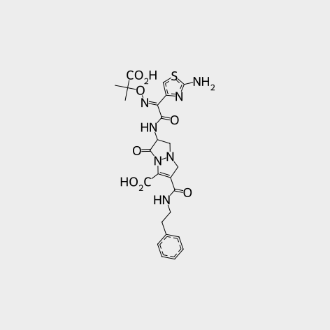 CC(C)(ON=C(C(=O)NC1CN2CC(C(=O)NCCc3ccccc3)=C(C(=O)O)N2C1=O)c1csc(N)n1)C(=O)O